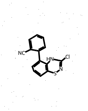 N#Cc1ccccc1-c1cccc2c1NC(Cl)=NS2